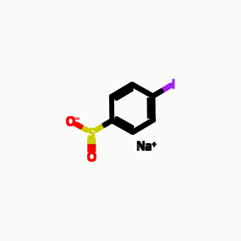 O=S([O-])c1ccc(I)cc1.[Na+]